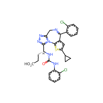 O=C(O)CC[C@@H](NC(=O)Nc1ccccc1Cl)c1nnc2n1-c1sc(C3CC3)cc1C(c1ccccc1Cl)=NC2